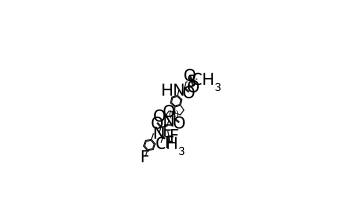 CC(N(Cc1ccc(F)cc1)C(=O)CN1C(=O)O[C@@]2(CCc3cc(NC(=O)CS(C)(=O)=O)ccc32)C1=O)C(F)(F)F